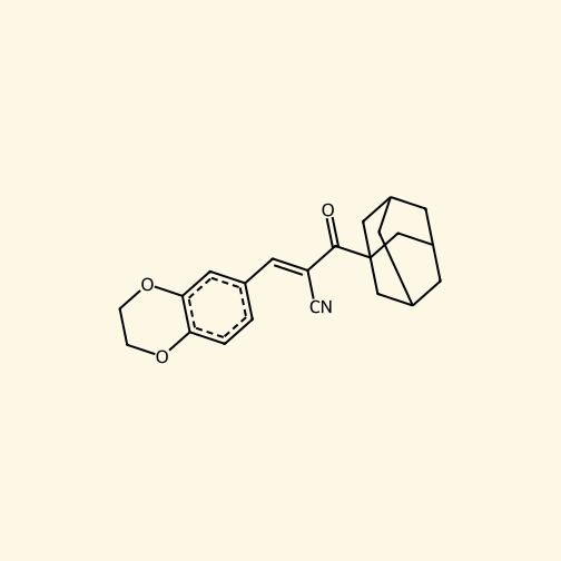 N#C/C(=C\c1ccc2c(c1)OCCO2)C(=O)C12CC3CC(CC(C3)C1)C2